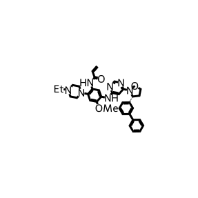 C=CC(=O)Nc1cc(Nc2cc(N3OCC[C@@H]3c3cccc(-c4ccccc4)c3)ncn2)c(OC)cc1N1CCN(CC)CC1